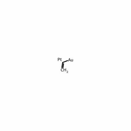 C=[CH][Au].[Pt]